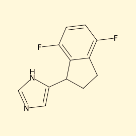 Fc1ccc(F)c2c1CCC2c1cnc[nH]1